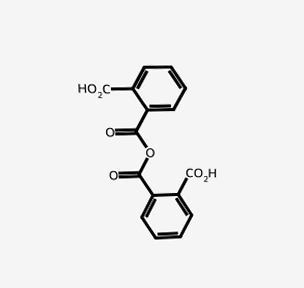 O=C(O)c1ccccc1C(=O)OC(=O)c1ccccc1C(=O)O